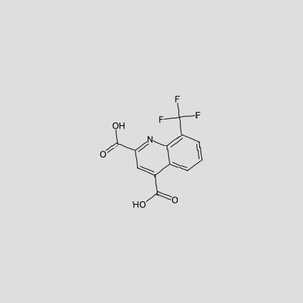 O=C(O)c1cc(C(=O)O)c2cccc(C(F)(F)F)c2n1